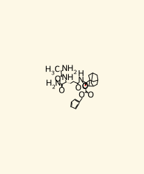 C[C@H](N)C(=O)N[C@H](CCC(=O)NC(=O)C12CC3CC(CC(C3)C1OC(=O)OCc1ccccc1)C2)C(N)=O